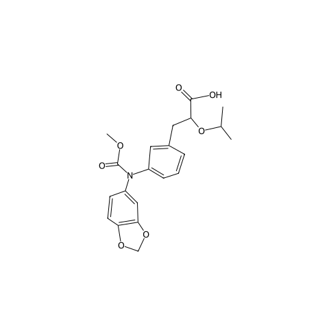 COC(=O)N(c1cccc(CC(OC(C)C)C(=O)O)c1)c1ccc2c(c1)OCO2